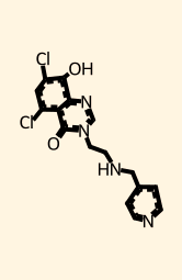 O=c1c2c(Cl)cc(Cl)c(O)c2ncn1CCNCc1ccncc1